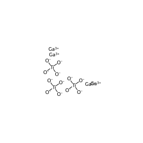 [Ga+3].[Ga+3].[Ga+3].[Ga+3].[O-][Ti]([O-])([O-])[O-].[O-][Ti]([O-])([O-])[O-].[O-][Ti]([O-])([O-])[O-]